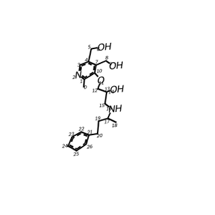 Cc1ncc(CO)c(CO)c1OCC(O)CNC(C)CCc1ccccc1